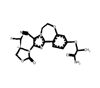 CC(Oc1ccc2c(c1)OCCn1c-2nc(N2C(=O)OC[C@H]2C(F)F)c1C#N)C(N)=O